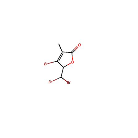 CC1=C(Br)C(C(Br)Br)OC1=O